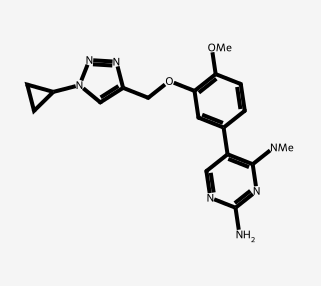 CNc1nc(N)ncc1-c1ccc(OC)c(OCc2cn(C3CC3)nn2)c1